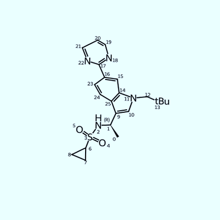 C[C@@H](NS(=O)(=O)C1CC1)c1cn(CC(C)(C)C)c2cc(-c3ncccn3)ccc12